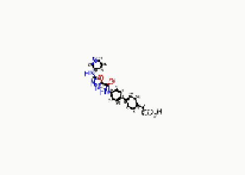 O=C(O)CC1CCC(c2ccc(NC(=O)c3nnc(Nc4cccnc4)o3)cc2)CC1